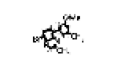 COc1cc(C)cc(-c2ccc(Br)c3ncc(C)nc23)c1